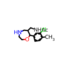 CC(=O)NCC1CNCCOC1c1ccc(C)c(Cl)c1